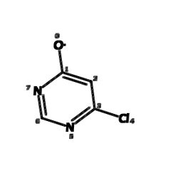 [O]c1cc(Cl)ncn1